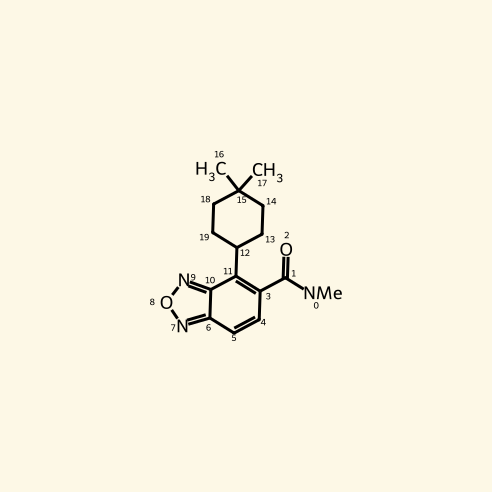 CNC(=O)c1ccc2nonc2c1C1CCC(C)(C)CC1